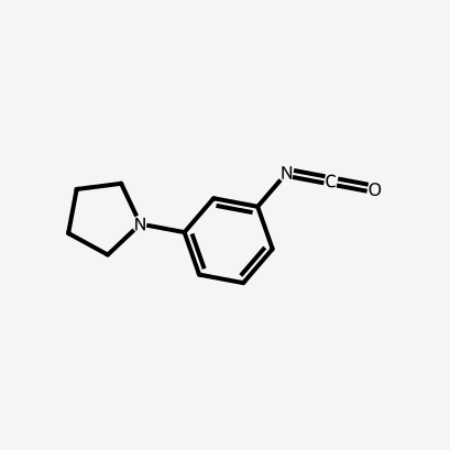 O=C=Nc1cccc(N2CCCC2)c1